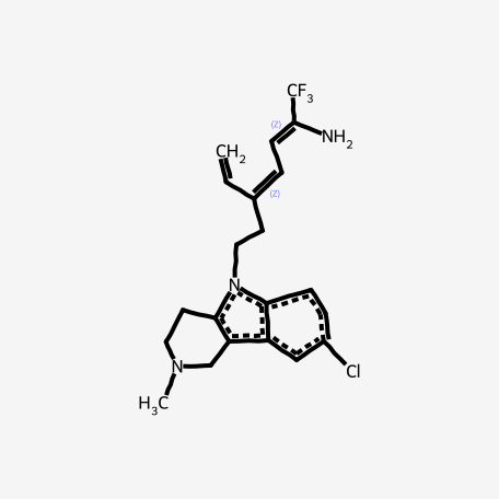 C=C/C(=C\C=C(/N)C(F)(F)F)CCn1c2c(c3cc(Cl)ccc31)CN(C)CC2